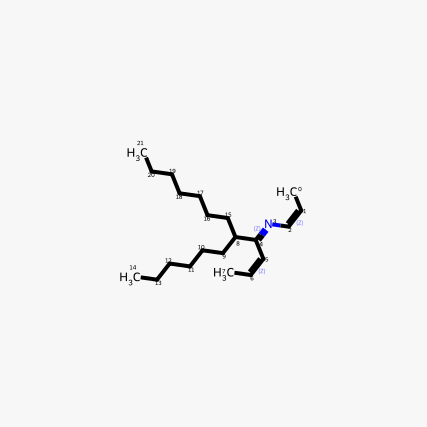 C\C=C/N=C(\C=C/C)C(CCCCCC)CCCCCCC